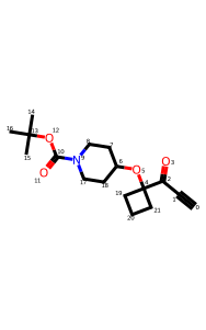 C#CC(=O)C1(OC2CCN(C(=O)OC(C)(C)C)CC2)CCC1